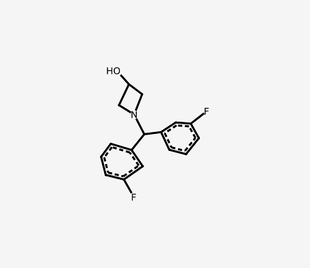 OC1CN(C(c2cccc(F)c2)c2cccc(F)c2)C1